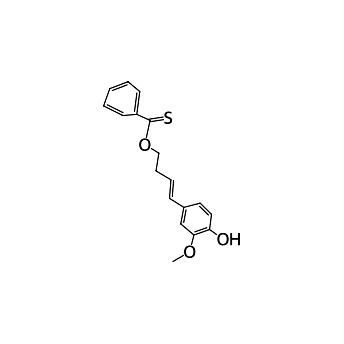 COc1cc(/C=C/CCOC(=S)c2ccccc2)ccc1O